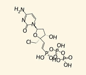 Nc1ccn([C@H]2C[C@H](O)[C@](/C=C/P(=O)(O)OP(=O)(O)OP(=O)(O)O)(CCl)O2)c(=O)n1